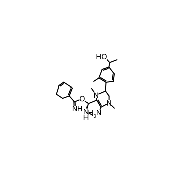 CNC(OC(=N)C1=CC=CCC1)C1=C(N)N(C)CC(c2ccc(C(C)O)cc2C)N1C